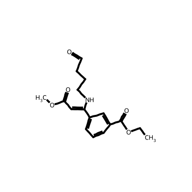 CCOC(=O)c1cccc(/C(=C/C(=O)OC)NCCCC=O)c1